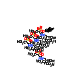 CCCCCCCCC(CNC(=O)CC(C(=O)O)S(=O)(=O)[O-])C(C)(C(=O)O)C(=O)O.CCCCCCCCC(CNC(=O)CC(C(=O)O)S(=O)(=O)[O-])C(C)(C(=O)O)C(=O)O.CCCCCCCCC(CNC(=O)CC(C(=O)O)S(=O)(=O)[O-])C(C)(C(=O)O)C(=O)O.CCCCCCCCC(CNC(=O)CC(C(=O)O)S(=O)(=O)[O-])C(C)(C(=O)O)C(=O)O.[Na+].[Na+].[Na+].[Na+]